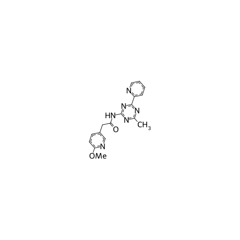 COc1ccc(CC(=O)Nc2nc(C)nc(-c3ccccn3)n2)cn1